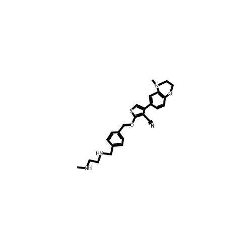 CNCCNCc1ccc(COc2scc(-c3ccc4c(c3)N(C)CCO4)c2C#N)cc1